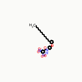 CCCCCCCCCCCCCCCc1cccc(Oc2ccc(NC(=O)c3cc([N+](=O)[O-])cc([N+](=O)[O-])c3)cc2)c1